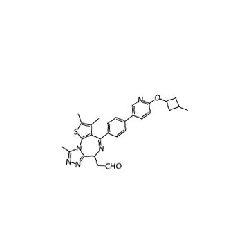 Cc1sc2c(c1C)C(c1ccc(-c3ccc(OC4CC(C)C4)nc3)cc1)=NC(CC=O)c1nnc(C)n1-2